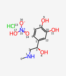 CNC[C@H](O)c1ccc(O)c(O)c1.Cl.O=[N+]([O-])O